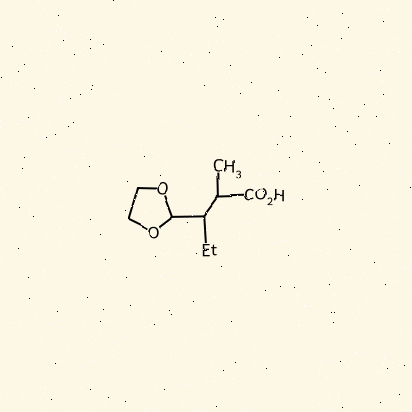 CCC(C1OCCO1)C(C)C(=O)O